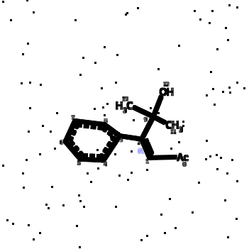 CC(=O)/C=C(/c1ccccc1)C(C)(C)O